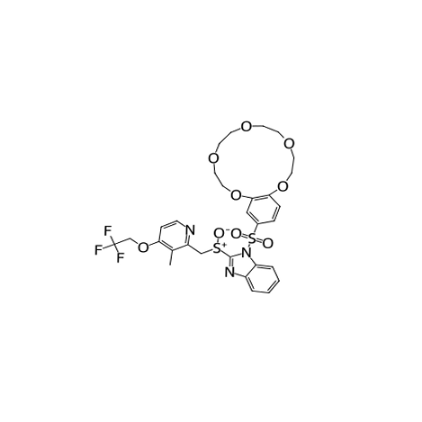 Cc1c(OCC(F)(F)F)ccnc1C[S+]([O-])c1nc2ccccc2n1S(=O)(=O)c1ccc2c(c1)OCCOCCOCCOCCO2